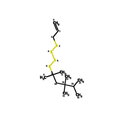 C=CCSSSSC(C)(C)CC(C)(C)C(C)C